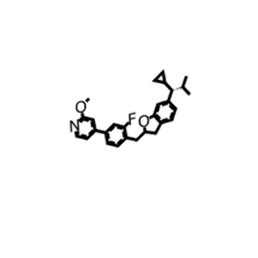 COc1cc(-c2ccc(CC3Cc4ccc([C@@H](C(C)C)C5CC5)cc4O3)c(F)c2)ccn1